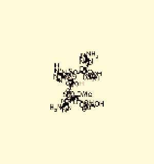 COC1C(OP(=O)(O)S)[C@H](n2cnc3c(N)ncnc32)O[C@@H]1COP(O)(=S)OC1C(O)[C@@H](COP(O)(=S)OC2C(OC)[C@@H](COP(=O)(O)OCCO)O[C@H]2n2cnc3c(N)ncnc32)O[C@H]1n1cnc2c(N)ncnc21